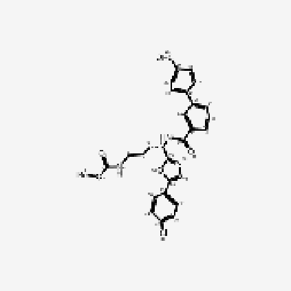 CC(C)(C)OC(=O)NCCC[C@H](NC(=O)c1cccc(-c2ccc(C=O)cc2)c1)c1ncc(-c2ccc(Cl)cc2)o1